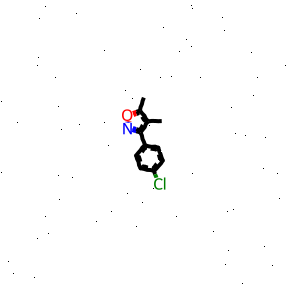 Cc1onc(-c2ccc(Cl)cc2)c1C